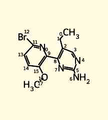 CCc1cnc(N)nc1-c1nc(Br)ccc1OC